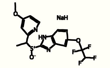 COc1ccnc(C(C)[S+]([O-])c2nc3cc(OC(F)(F)C(F)F)ccc3[nH]2)c1.[NaH]